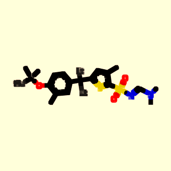 CCC(CC)(c1ccc(O[Si](C)(C)C(C)(C)C)c(C)c1)c1cc(C)c(S(=O)(=O)N=CN(C)C)s1